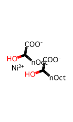 CCCCCCCCC(O)C(=O)[O-].CCCCCCCCC(O)C(=O)[O-].[Ni+2]